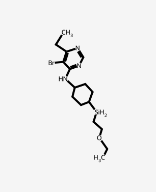 CCOCC[SiH2]C1CCC(Nc2ncnc(CC)c2Br)CC1